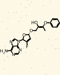 C/C(Oc1ccccc1)=C(/O)CO[C@@H]1C=C(F)C(n2cnc3c(N)ncnc32)O1